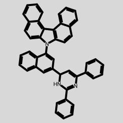 C1=C(c2ccccc2)N=C(c2ccccc2)NC1c1cc(-n2c3ccc4ccccc4c3c3c4ccccc4ccc32)c2ccccc2c1